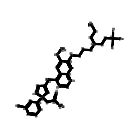 COc1cc2c(NC3=C[N+](CC(N)=O)(c4cccc(F)c4)N=C3)ncnc2cc1OCCCN(CCO)CCC(F)(F)F